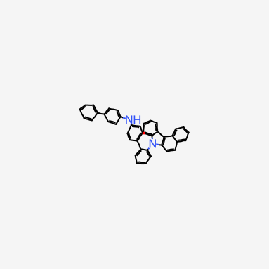 c1ccc(-c2ccc(Nc3ccc(-c4ccccc4-n4c5ccccc5c5c6ccccc6ccc54)cc3)cc2)cc1